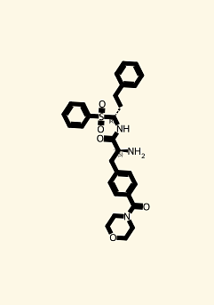 N[C@@H](Cc1ccc(C(=O)N2CCOCC2)cc1)C(=O)N[C@@H](CCc1ccccc1)S(=O)(=O)c1ccccc1